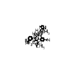 COC(=O)C1=C(C)N(c2cccc(C(F)(F)F)c2)c2n[nH]c(=O)n2[C@@H]1c1ccc(C#N)cc1CC[N+](C)(C)Cc1cnccn1